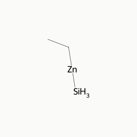 C[CH2][Zn][SiH3]